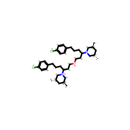 C[C@H]1C[C@H](C)CN(C(CCCc2ccc(Cl)cc2)CCOCCC(CCCc2ccc(Cl)cc2)N2C[C@@H](C)C[C@H](C)C2)C1